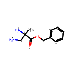 CC(N)(CN)C(=O)OCc1ccccc1